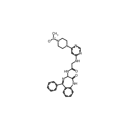 C[S+]([O-])N1CCN(c2cc(NCC(=O)NC3N=C(c4ccccc4)c4ccccc4NC3=O)ncn2)CC1